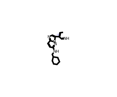 C/C=C(\C=N)c1cnc2ccc(NCC3CCCCC3)nn12